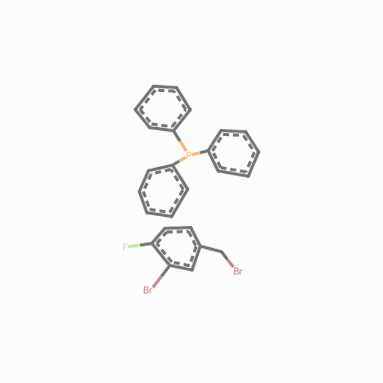 Fc1ccc(CBr)cc1Br.c1ccc(P(c2ccccc2)c2ccccc2)cc1